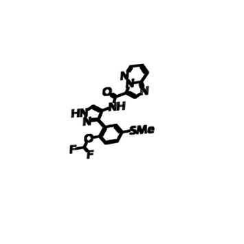 CSc1ccc(OC(F)F)c(-c2n[nH]cc2NC(=O)c2cnc3cccnn23)c1